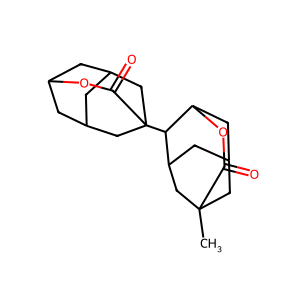 CC12CC3CC(C1)C(C14CC5CC(CC(C5)OC1=O)C4)C(C3)OC2=O